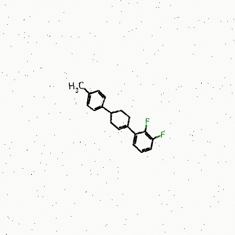 Cc1ccc(C2CC=C(c3cccc(F)c3F)CC2)cc1